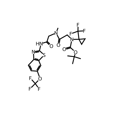 CN(CC(=O)Nc1nc2ccc(OC(F)(F)F)cc2s1)C(=O)CN(C(=O)OC(C)(C)C)C1(C(F)(F)F)CC1